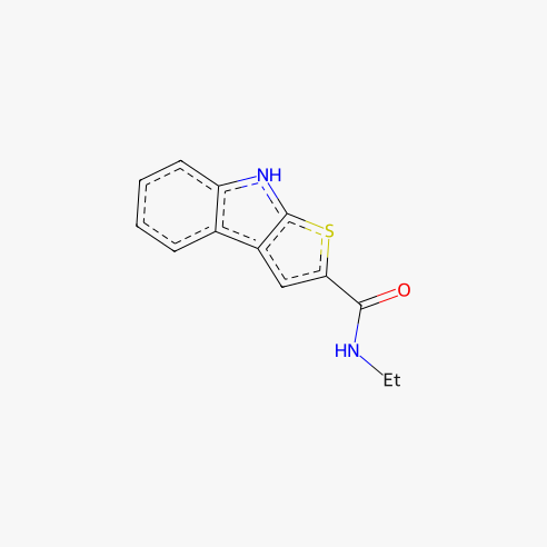 CCNC(=O)c1cc2c([nH]c3ccccc32)s1